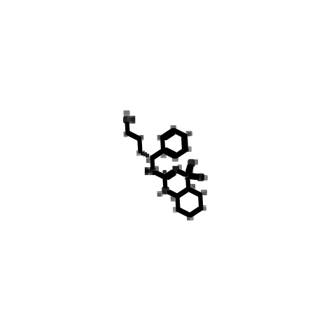 O=S1(=O)N=C(N[C@H](CCCO)c2ccccc2)OC2CCCCC21